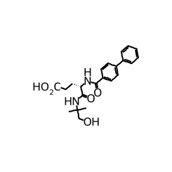 CC(C)(CO)NC(=O)[C@H](CCC(=O)O)NC(=O)c1ccc(-c2ccccc2)cc1